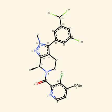 COc1ccnc(C(=O)N2CCc3c(nn(C)c3-c3cc(F)cc(C(F)F)c3)[C@@H]2C)c1Cl